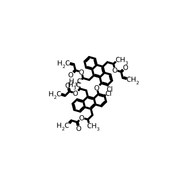 C=CC(=O)OC(C)Cc1c2ccccc2c(CC(C)OC(=O)C=C)c2c(Oc3c(Cl)ccc4c(CC(C)OC(=O)C=C)c5ccccc5c(CC(C)OC(=O)C=C)c34)c(Cl)ccc12